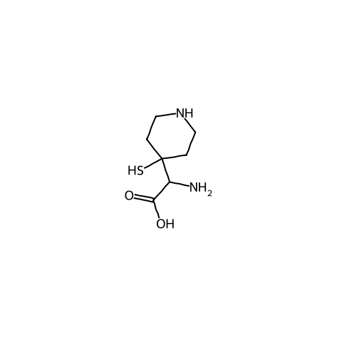 NC(C(=O)O)C1(S)CCNCC1